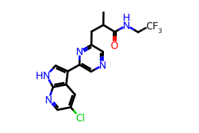 CC(Cc1cncc(-c2c[nH]c3ncc(Cl)cc23)n1)C(=O)NCC(F)(F)F